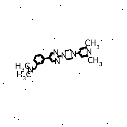 Cc1cc(N2CCN(c3ncc(-c4cccc(CN(C)C)c4)cn3)CC2)cc(C)n1